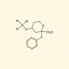 CC[Si](CC)(CC)OC1CCOC(Sc2ccccc2)(C(=O)O)C1